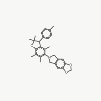 Cc1ccc(C2c3c(C)c(N4Cc5cc6c(cc5C4)OCO6)c(C)c(C)c3OC2(C)C)cc1